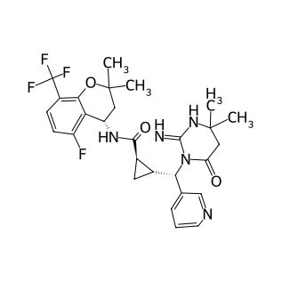 CC1(C)CC(=O)N([C@H](c2cccnc2)C2C[C@H]2C(=O)N[C@H]2CC(C)(C)Oc3c(C(F)(F)F)ccc(F)c32)C(=N)N1